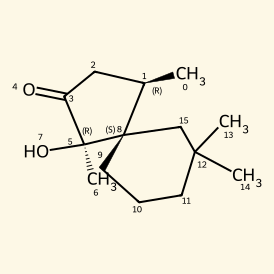 C[C@@H]1CC(=O)[C@](C)(O)[C@]12CCCC(C)(C)C2